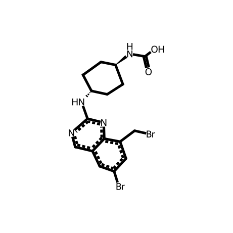 O=C(O)N[C@H]1CC[C@H](Nc2ncc3cc(Br)cc(CBr)c3n2)CC1